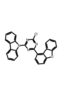 Clc1nc(-c2cccc3oc4ccccc4c23)nc(-n2c3ccccc3c3ccccc32)n1